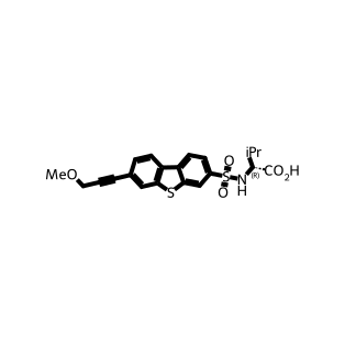 COCC#Cc1ccc2c(c1)sc1cc(S(=O)(=O)N[C@@H](C(=O)O)C(C)C)ccc12